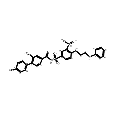 Cc1cc(C(=O)NS(=O)(=O)c2ccc(NCCSc3ccccc3)c([N+](=O)[O-])c2)ccc1-c1ccc(F)cc1